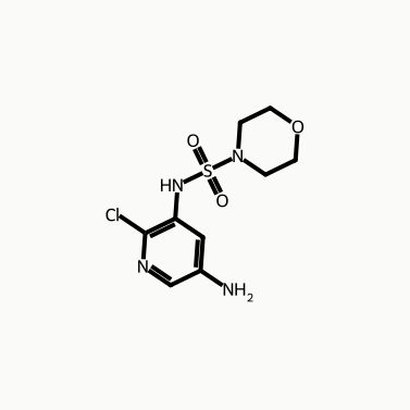 Nc1cnc(Cl)c(NS(=O)(=O)N2CCOCC2)c1